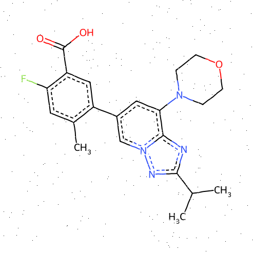 Cc1cc(F)c(C(=O)O)cc1-c1cc(N2CCOCC2)c2nc(C(C)C)nn2c1